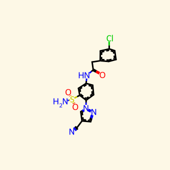 N#Cc1cnn(-c2ccc(NC(=O)Cc3cccc(Cl)c3)cc2S(N)(=O)=O)c1